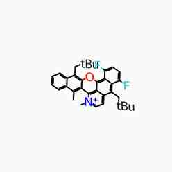 Cc1c2c(c(CC(C)(C)C)c3ccccc13)Oc1c3c-2[n+](C)ccc3c(CC(C)(C)C)c2c(F)ccc(F)c12